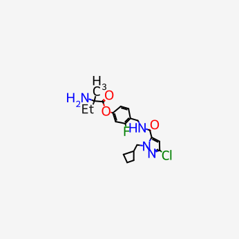 CCC(C)(N)C(=O)Oc1ccc(CNC(=O)c2cc(Cl)nn2CC2CCC2)c(F)c1